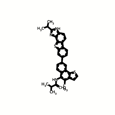 C=C(Nc1c(C)c2ccsc2c2cc(-c3ccc4c(c3)sc3c4ccc4[nH]c(C(C)C)nc43)ccc12)C(C)C